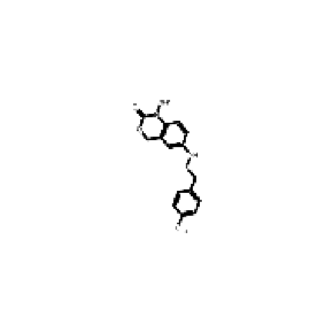 CCCN1C(=O)OCc2cc(NSCc3ccc(C)cc3)ccc21